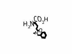 CN(Cc1ccccc1)C(=O)CCC(N)C(=O)O